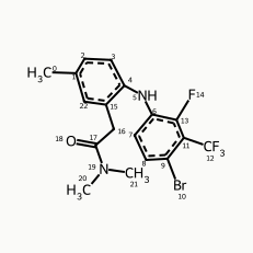 Cc1ccc(Nc2ccc(Br)c(C(F)(F)F)c2F)c(CC(=O)N(C)C)c1